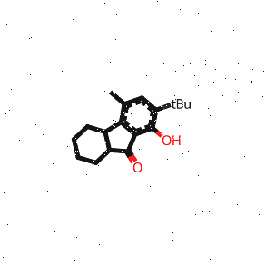 Cc1cc(C(C)(C)C)c(O)c2c1C1CCCCC1C2=O